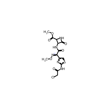 CO/N=C(/C(=O)NC1C(=O)NC1C(=O)OC)c1csc(NC(=O)CCl)n1